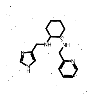 c1ccc(CN[C@H]2CCCCC2NCc2c[nH]cn2)nc1